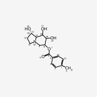 Cc1ccc(C(=O)OC2CN3CC[C@H](O)C3C(O)C2O)cc1